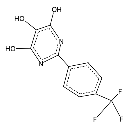 Oc1nc(-c2ccc(C(F)(F)F)cc2)nc(O)c1O